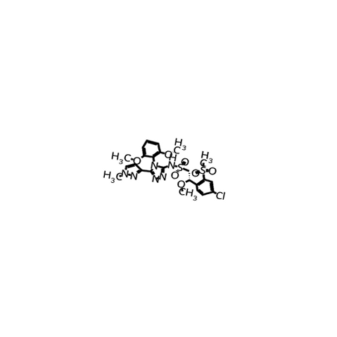 COc1cccc(OC)c1-n1c(NS(=O)(=O)C[C@@H](OC)c2ccc(Cl)cc2S(C)(=O)=O)nnc1-c1ccn(C)n1